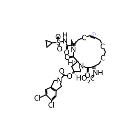 C[C@@]1(C(=O)NS(=O)(=O)C2CC2)CC/C=C\CCCCC[C@H](NC(=O)O)C(=O)N2C[C@H](OC(=O)N3Cc4cc(Cl)c(Cl)cc4C3)C[C@H]2C(=O)N1